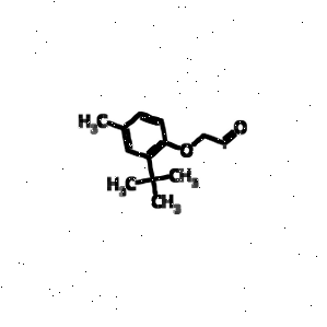 Cc1ccc(OC[C]=O)c(C(C)(C)C)c1